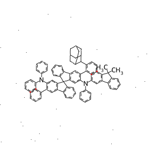 CC1(C)c2ccccc2-c2cc(N(c3ccccc3)c3cc4c(cc3-c3ccccc3C3C5CC6CC(C5)CC3C6)-c3ccccc3C43c4ccccc4-c4cc(-c5ccccc5)c(N(c5ccccc5)c5ccccc5)cc43)ccc21